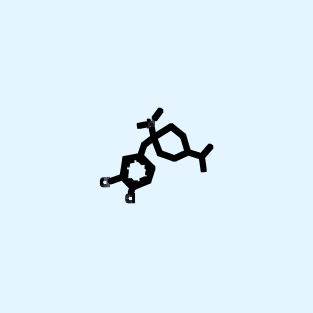 CC(C)C1CCC(Cc2ccc(Cl)c(Cl)c2)(N(C)C)CC1